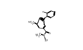 CCCN(C)C(=O)c1cc(C(=O)O)cc(-c2ccccc2F)c1